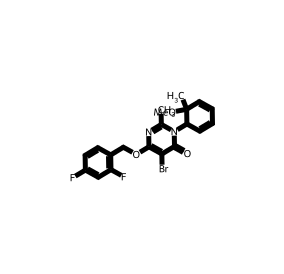 COC1(C)C=CC=CC1n1c(C)nc(OCc2ccc(F)cc2F)c(Br)c1=O